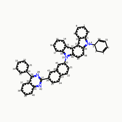 C1=CCC(n2c3ccccc3c3c4c5ccccc5n(-c5ccc6ccc(-c7nc(-c8ccccc8)c8ccccc8n7)cc6c5)c4ccc32)C=C1